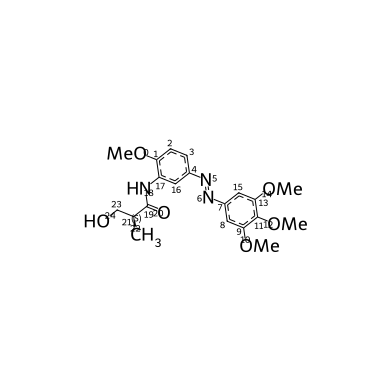 COc1ccc(N=Nc2cc(OC)c(OC)c(OC)c2)cc1NC(=O)[C@@H](C)CO